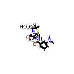 CC(=O)[C@]1(NC(=O)c2cccc(N(C)C)c2)C(=O)N2[C@@H](C(=O)O)C(C)(C)S[C@@H]21